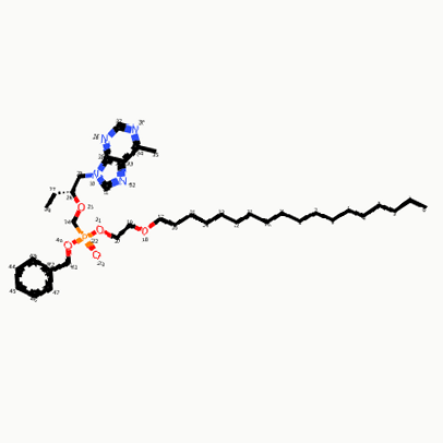 CCCCCCCCCCCCCCCCCCOCCOP(=O)(CO[C@H](CC)Cn1cnc2c(C)ncnc21)OCc1ccccc1